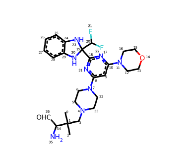 CC(C)(CN1CCN(c2cc(N3CCOCC3)nc(C3(C(F)F)Nc4ccccc4N3)n2)CC1)C(N)C=O